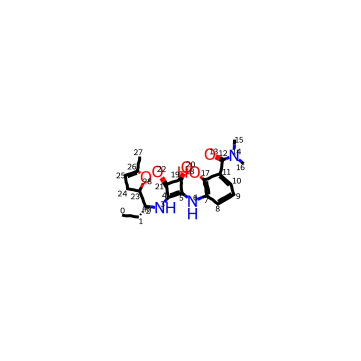 CC[C@@H](Nc1c(Nc2cccc(C(=O)N(C)C)c2O)c(=O)c1=O)C1CC=C(C)O1